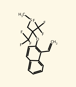 C=Cc1c(OC(CSC)(C(F)(F)F)C(F)(F)F)ccc2ccccc12